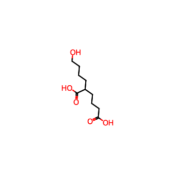 O=C(O)CCCC(CCCCO)C(=O)O